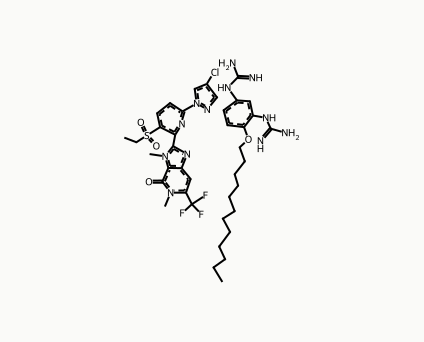 CCCCCCCCCCCCOc1ccc(NC(=N)N)cc1NC(=N)N.CCS(=O)(=O)c1ccc(-n2cc(Cl)cn2)nc1-c1nc2cc(C(F)(F)F)n(C)c(=O)c2n1C